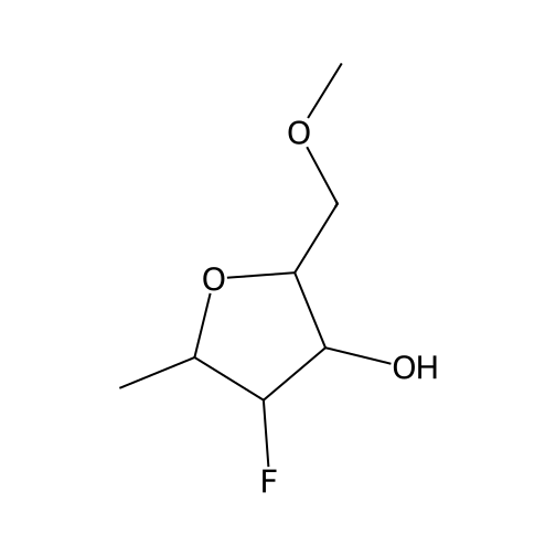 COCC1OC(C)C(F)C1O